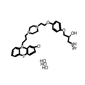 CC(C)NC[C@H](O)COc1ccc(OCCN2CCN(CCCN3c4ccccc4Sc4ccc(Cl)cc43)CC2)cc1.Cl.Cl.Cl